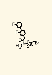 CN(C(=O)Cc1ccc(-c2cccc(F)c2)c(F)c1)c1nc(CBr)[c]s1